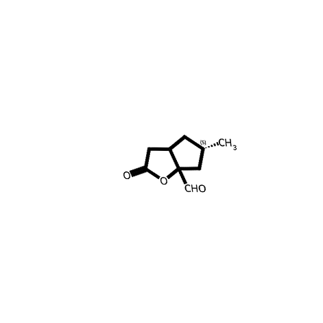 C[C@H]1CC2CC(=O)OC2(C=O)C1